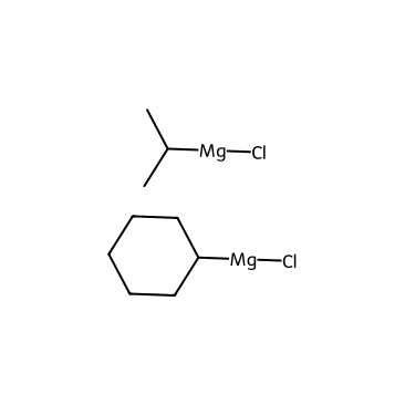 C[CH](C)[Mg][Cl].[Cl][Mg][CH]1CCCCC1